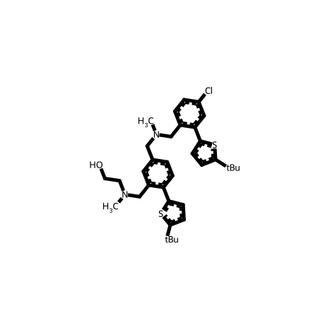 CN(CCO)Cc1cc(CN(C)Cc2ccc(Cl)cc2-c2ccc(C(C)(C)C)s2)ccc1-c1ccc(C(C)(C)C)s1